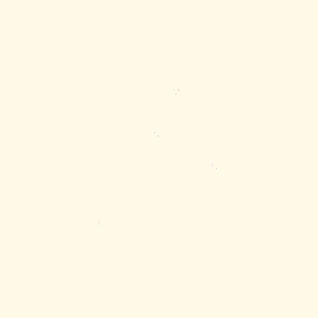 COc1ccnc2sc(-c3cccc(C(F)(F)F)c3)nc12